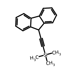 C[Si](C)(C)C#CC1c2ccccc2-c2ccccc21